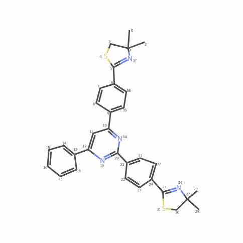 CC1(C)CSC(c2ccc(-c3cc(-c4ccccc4)nc(-c4ccc(C5=NC(C)(C)CS5)cc4)n3)cc2)=N1